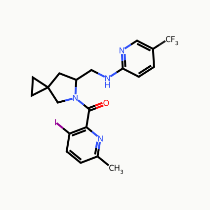 Cc1ccc(I)c(C(=O)N2CC3(CC3)CC2CNc2ccc(C(F)(F)F)cn2)n1